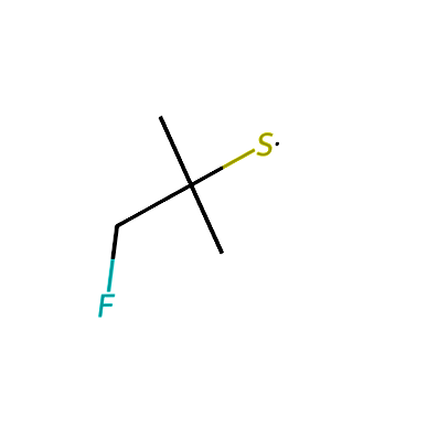 CC(C)([S])CF